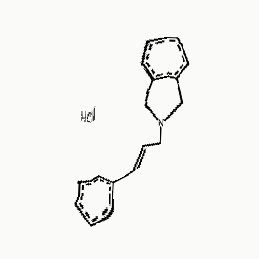 C(=Cc1ccccc1)CN1Cc2ccccc2C1.Cl